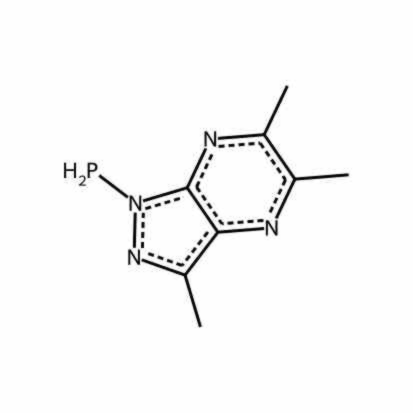 Cc1nc2c(C)nn(P)c2nc1C